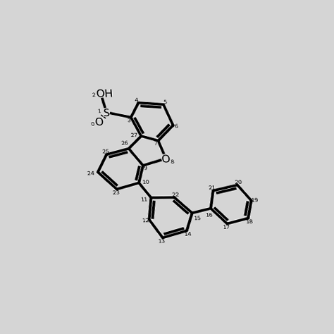 O=S(O)c1cccc2oc3c(-c4cccc(-c5ccccc5)c4)cccc3c12